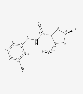 O=C(NCc1cccc(Br)n1)[C@@H]1C[C@@H](F)CN1C(=O)O